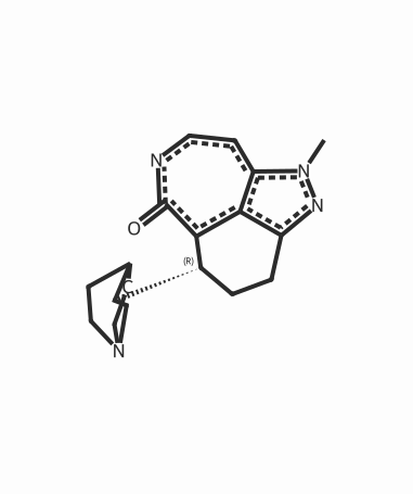 Cn1nc2c3c(c(=O)nccc31)[C@@H](C1CN3CCC1CC3)CC2